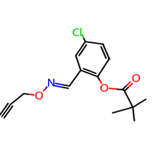 C#CCON=Cc1cc(Cl)ccc1OC(=O)C(C)(C)C